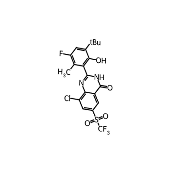 Cc1c(F)cc(C(C)(C)C)c(O)c1-c1nc2c(Cl)cc(S(=O)(=O)C(F)(F)F)cc2c(=O)[nH]1